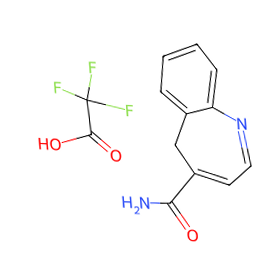 NC(=O)C1=CC=Nc2ccccc2C1.O=C(O)C(F)(F)F